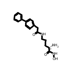 N[C@@H](CCCNC(=O)Cc1ccc(-c2ccccc2)cc1)C(=O)NO